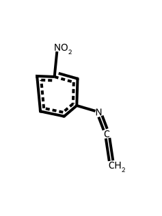 C=C=Nc1cccc([N+](=O)[O-])c1